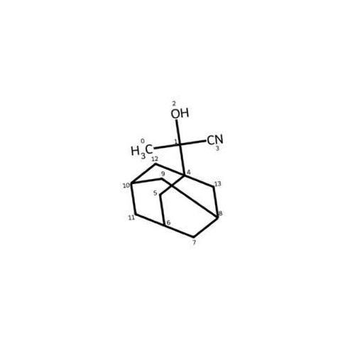 CC(O)(C#N)C12CC3CC(CC(C3)C1)C2